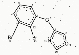 Brc1cccc(Oc2co[c]n2)c1Br